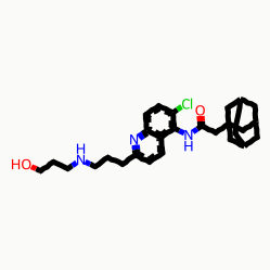 O=C(CC12CC3CC(CC(C3)C1)C2)Nc1c(Cl)ccc2nc(CCCNCCCO)ccc12